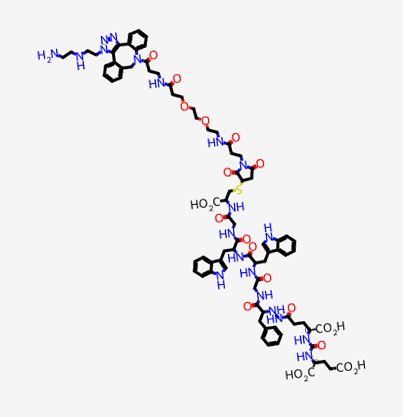 NCCNCCn1nnc2c1-c1ccccc1CN(C(=O)CCNC(=O)CCOCCOCCNC(=O)CCN1C(=O)CC(SCC(NC(=O)CNC(=O)C(Cc3c[nH]c4ccccc34)NC(=O)C(Cc3c[nH]c4ccccc34)NC(=O)CNC(=O)C(Cc3ccccc3)NNC(=O)CC[C@H](NC(=O)N[C@@H](CCC(=O)O)C(=O)O)C(=O)O)C(=O)O)C1=O)c1ccccc1-2